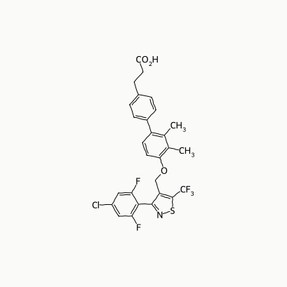 Cc1c(OCc2c(-c3c(F)cc(Cl)cc3F)nsc2C(F)(F)F)ccc(-c2ccc(CCC(=O)O)cc2)c1C